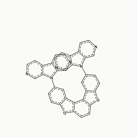 c1cc2c3ccncc3n(-c3ccc4oc5ccc6oc7ccc(-n8c9cnccc9c9ccncc98)cc7c6c5c4c3)c2cn1